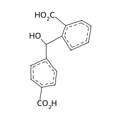 O=C(O)c1ccc(C(O)c2ccccc2C(=O)O)cc1